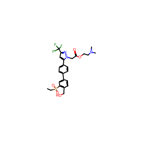 CCS(=O)(=O)c1cc(-c2ccc(-c3cc(C(F)(F)F)nn3CC(=O)OCCN(C)C)cc2)ccc1CO